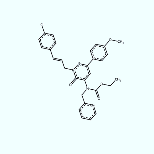 CCOC(=O)N(Cc1ccccn1)c1cc(-c2ccc(OC)cc2)nn(CC=Cc2ccc(Cl)cc2)c1=O